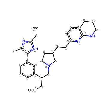 Cc1nc(C)c(-c2cccc([C@H](CC(=O)[O-])CN3CC[C@@H](CCc4ccc5c(n4)NCCC5)C3)c2)[nH]1.[Na+]